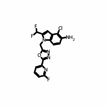 Nc1ccc2c(cc(C(F)F)n2Cc2nnc(-c3cccc(F)n3)o2)c1Cl